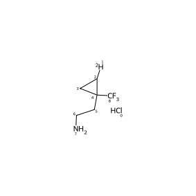 Cl.[2H]C1CC1(CCN)C(F)(F)F